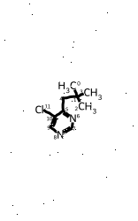 CC(C)(C)Cc1ncncc1Cl